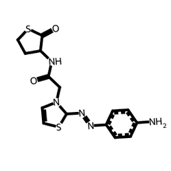 Nc1ccc(/N=N/C2SC=CN2CC(=O)NC2CCSC2=O)cc1